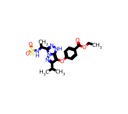 CCOC(=O)c1ccc(Oc2c(C(C)C)nn3c(C(C)N[SH](=O)=O)n[nH]c23)cc1